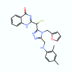 Cc1ccc(NCc2nnc(C(S)c3nc(=O)c4ccccc4[nH]3)n2Cc2ccco2)c(C)c1